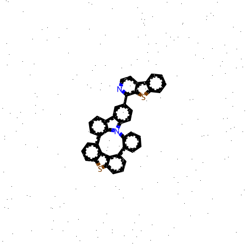 c1ccc2c(c1)sc1c(-c3ccc4c(c3)c3cccc5c6cccc7sc8cccc(c9ccccc9n4c53)c8c76)nccc12